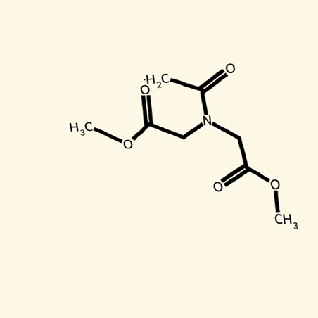 [CH2]C(=O)N(CC(=O)OC)CC(=O)OC